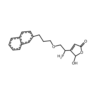 O=C1C=C(C(P)COCCCc2ccc3ccccc3c2)C(O)O1